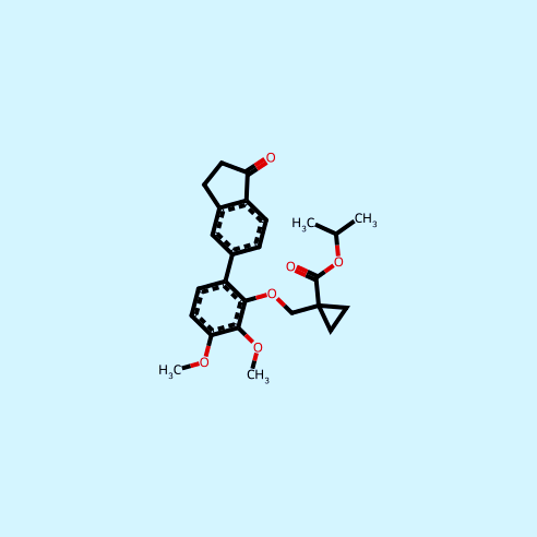 COc1ccc(-c2ccc3c(c2)CCC3=O)c(OCC2(C(=O)OC(C)C)CC2)c1OC